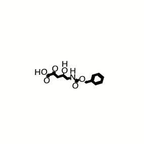 O=C(NC[C@@H](O)CC(=O)C(=O)O)OCc1ccccc1